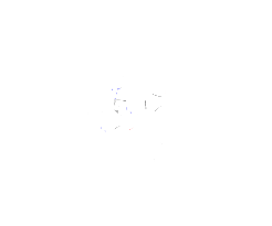 COc1ccc(Cn2c3c(c4nc(C(F)(F)F)sc42)C(C)(C)CNC=C3C(=O)OC(C)C)cc1